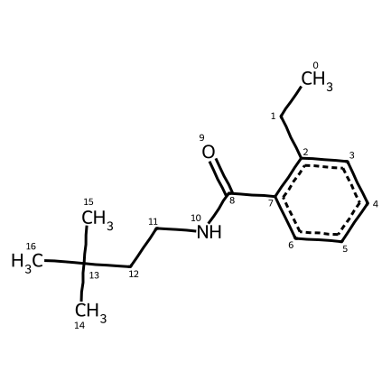 CCc1ccccc1C(=O)NCCC(C)(C)C